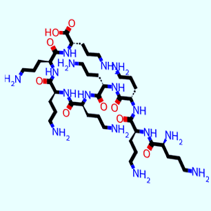 NCCC[C@H](NC(=O)[C@H](CCCN)NC(=O)[C@H](CCCN)NC(=O)[C@H](CCCN)NC(=O)[C@H](CCCN)NC(=O)[C@H](CCCN)NC(=O)[C@H](CCCN)NC(=O)[C@@H](N)CCCN)C(=O)O